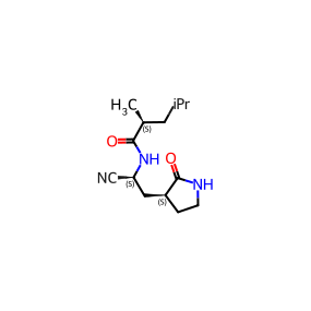 CC(C)C[C@H](C)C(=O)N[C@H](C#N)C[C@@H]1CCNC1=O